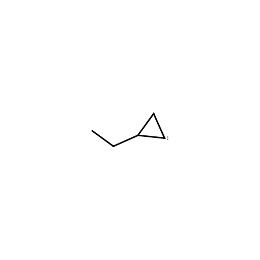 CCC1[C]C1